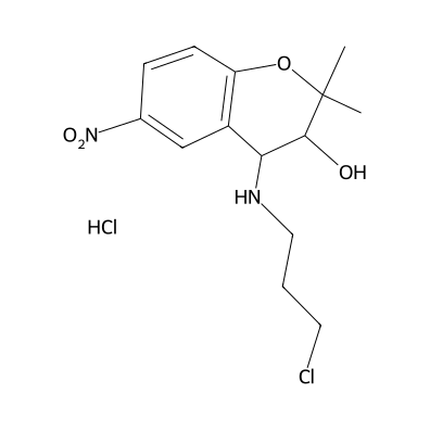 CC1(C)Oc2ccc([N+](=O)[O-])cc2C(NCCCCl)C1O.Cl